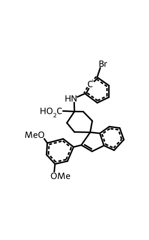 COc1cc(OC)cc(C2=Cc3ccccc3C23CCC(Nc2cccc(Br)c2)(C(=O)O)CC3)c1